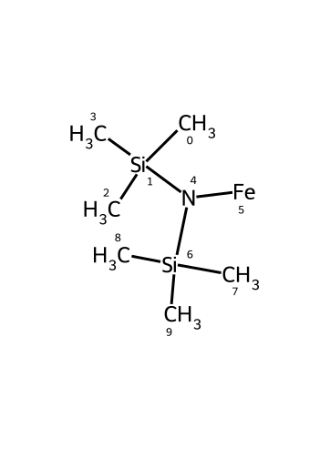 C[Si](C)(C)[N]([Fe])[Si](C)(C)C